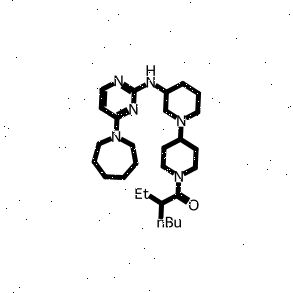 CCCCC(CC)C(=O)N1CCC(N2CCCC(Nc3nccc(N4CCCCCC4)n3)C2)CC1